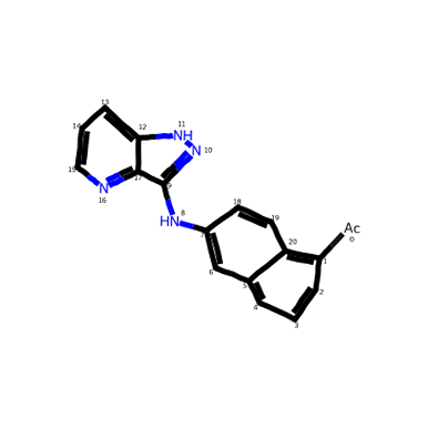 CC(=O)c1cccc2cc(Nc3n[nH]c4cccnc34)ccc12